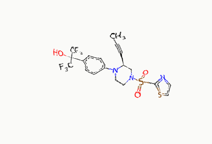 CC#C[C@H]1CN(S(=O)(=O)c2nccs2)CCN1c1ccc(C(O)(C(F)(F)F)C(F)(F)F)cc1